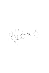 Cn1nccc1Nc1nccc(-c2ccc3c(c2)C(O)CCN3C(=O)Cc2ccccc2Cl)n1